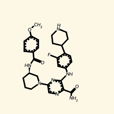 COc1ccc(C(=O)N[C@@H]2CCCN(c3cnc(C(N)=O)c(Nc4ccc(C5CCNCC5)c(F)c4)n3)C2)cc1